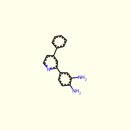 Nc1ccc(-c2cc(-c3ccccc3)ccn2)cc1N